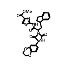 COC(=O)c1csc(NC(=O)C(CC2CCc3ccccc32)N2C(=O)NC(c3ccc4c(c3)OCCO4)C2=O)n1